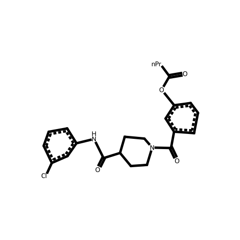 CCCC(=O)Oc1cccc(C(=O)N2CCC(C(=O)Nc3cccc(Cl)c3)CC2)c1